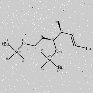 C[C@@H](/C=C/I)[C@H](CCO[Si](C)(C)C(C)(C)C)O[Si](C)(C)C(C)(C)C